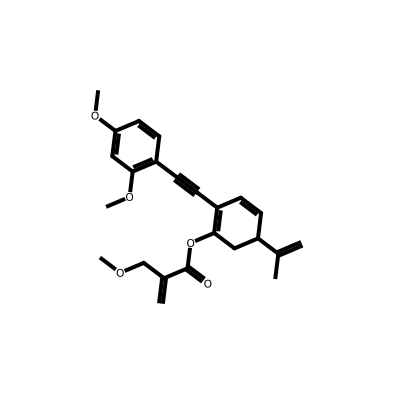 C=C(COC)C(=O)OC1=C(C#Cc2ccc(OC)cc2OC)C=CC(C(=C)C)C1